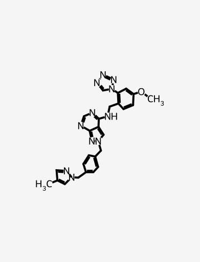 COc1ccc(CNc2ncnc3nn(Cc4ccc(Cn5cc(C)cn5)cc4)cc23)c(-n2cnnn2)c1